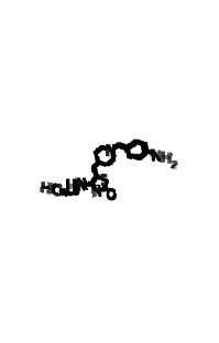 C#CCNC1=NC(=O)S/C1=C\C1CCN(Cc2ccc(N)cc2)CC1